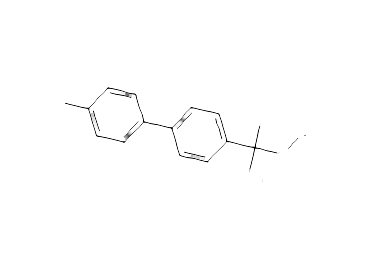 CC(C)(O[SiH3])c1ccc(-c2ccc(F)cc2)cc1